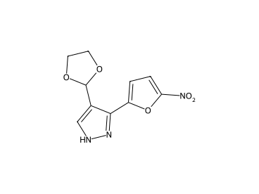 O=[N+]([O-])c1ccc(-c2n[nH]cc2C2OCCO2)o1